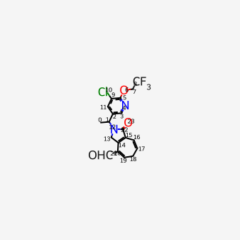 CC(c1cnc(OCC(F)(F)F)c(Cl)c1)N1CC2=C(C=CCC=C2C=O)C1=O